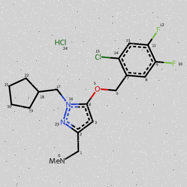 CNCc1cc(OCc2cc(F)c(F)cc2Cl)n(CC2CCCC2)n1.Cl